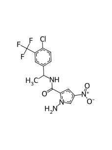 CC(NC(=O)c1cc([N+](=O)[O-])cn1N)c1ccc(Cl)c(C(F)(F)F)c1